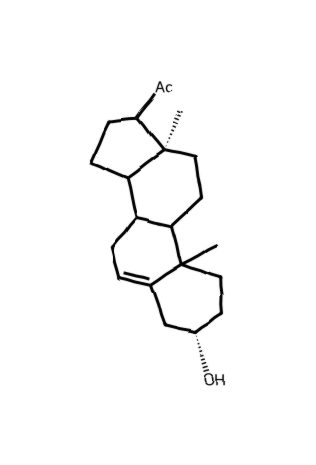 CC(=O)C1CCC2C3CC=C4C[C@@H](O)CCC4(C)C3CC[C@]12C